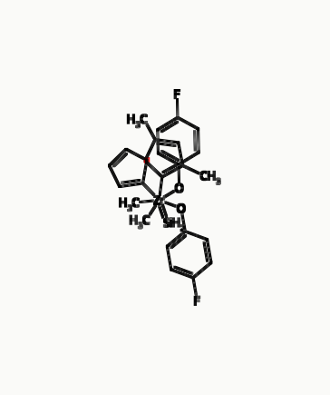 CC1=CC(C)=[C]([Zr]([CH3])([CH3])(=[SiH2])([O]c2ccc(F)cc2)([O]c2ccc(F)cc2)[C]2=CC=CC2)C1